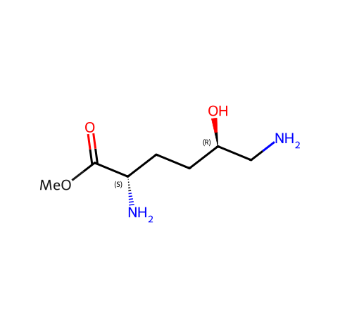 COC(=O)[C@@H](N)CC[C@@H](O)CN